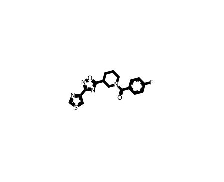 O=C(c1ccc(F)cc1)N1CCCC(c2nc(-c3cscn3)no2)C1